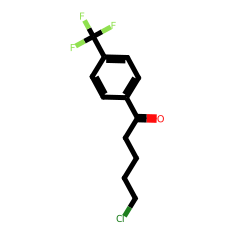 O=C(CCCCCl)c1ccc(C(F)(F)F)cc1